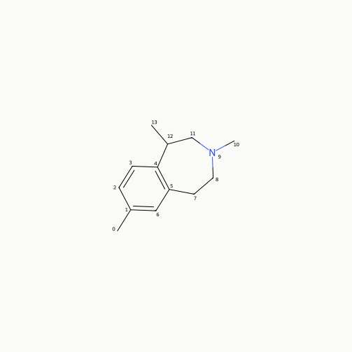 Cc1ccc2c(c1)CCN(C)CC2C